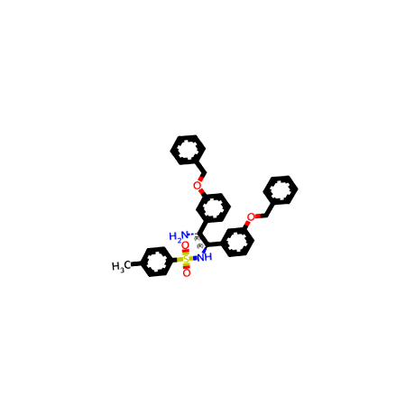 Cc1ccc(S(=O)(=O)N[C@H](c2cccc(OCc3ccccc3)c2)[C@H](N)c2cccc(OCc3ccccc3)c2)cc1